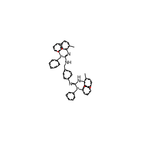 Cc1cccc(C)c1/N=C(/NCc1ccc(/N=C(\Nc2c(C)cccc2C)P(c2ccccc2)c2ccccc2)cc1)P(c1ccccc1)c1ccccc1